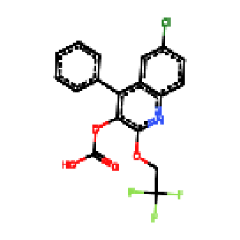 O=C(O)Oc1c(OCC(F)(F)F)nc2ccc(Cl)cc2c1-c1ccccc1